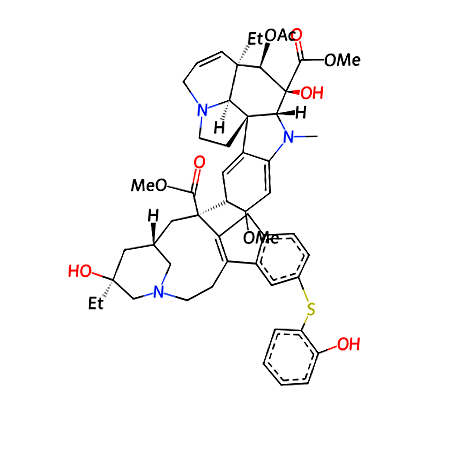 CC[C@]1(O)C[C@H]2CN(CCC3=C(Cc4ccc(Sc5ccccc5O)cc43)[C@@](C(=O)OC)(C3C=C4C(=CC3OC)N(C)[C@H]3[C@@](O)(C(=O)OC)[C@H](OC(C)=O)[C@]5(CC)C=CCN6CC[C@]43[C@@H]65)C2)C1